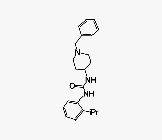 CC(C)c1ccccc1NC(=O)NC1CCN(Cc2ccccc2)CC1